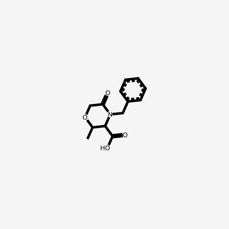 CC1OCC(=O)N(Cc2ccccc2)C1C(=O)O